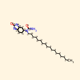 CCCCCCCCCCCCCCCCCCN(C(N)=O)c1ccc2c(c1)=NC(=O)N=2